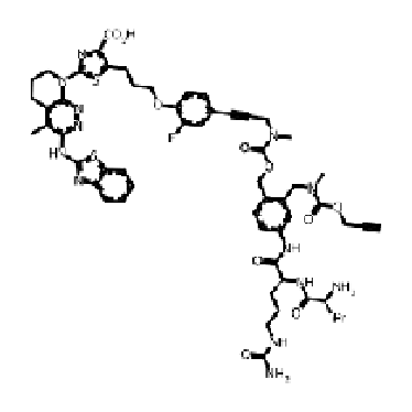 C#CCOC(=O)N(C)Cc1cc(NC(=O)[C@H](CCCNC(N)=O)NC(=O)[C@@H](N)C(C)C)ccc1COC(=O)N(C)CC#Cc1ccc(OCCCc2sc(N3CCCc4c3nnc(Nc3nc5ccccc5s3)c4C)nc2C(=O)O)c(F)c1